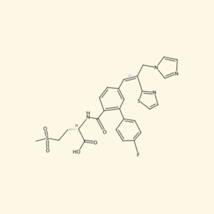 CS(=O)(=O)CC[C@H](NC(=O)c1ccc(/C=C(/Cn2ccnc2)c2nccs2)cc1-c1ccc(F)cc1)C(=O)O